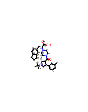 Cc1cccc(C2CN(C(C)(C)C)CC2C(=O)N2CCN([C@@H](Cc3ccc4c(c3)CCC4)C(=O)O)C[C@@H]2C)c1